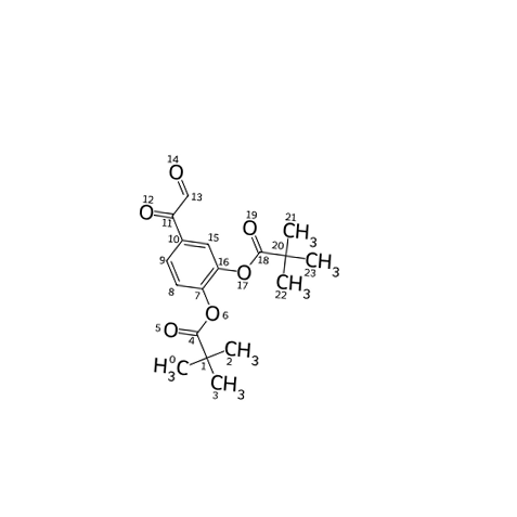 CC(C)(C)C(=O)Oc1ccc(C(=O)C=O)cc1OC(=O)C(C)(C)C